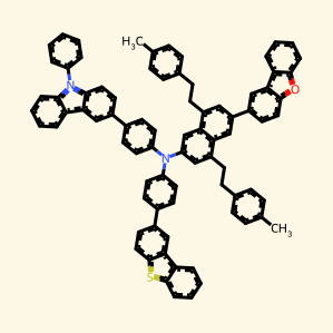 Cc1ccc(CCc2cc(N(c3ccc(-c4ccc5sc6ccccc6c5c4)cc3)c3ccc(-c4ccc5c(c4)c4ccccc4n5-c4ccccc4)cc3)cc3c(CCc4ccc(C)cc4)cc(-c4ccc5oc6ccccc6c5c4)cc23)cc1